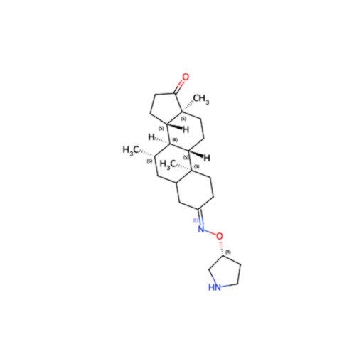 C[C@H]1CC2C/C(=N/O[C@@H]3CCNC3)CC[C@]2(C)[C@H]2CC[C@]3(C)C(=O)CC[C@H]3[C@H]12